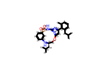 Cc1cccc(CC(C)C)c1-c1cc2nc(n1)NS(=O)(=O)c1cccc(c1)N[C@H](CC(C)C)CO2